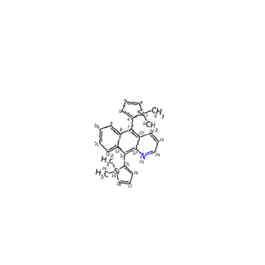 C[Si]1(C)C=CC=C1c1c2ccccc2c(C2=CC=C[Si]2(C)C)c2ncccc12